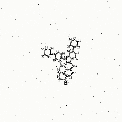 Brc1ccc2ccc3c4c(ccc1c24)cc1c2ccc(-c4ccccc4)cc2n(-c2ccc(-c4ccccc4)cc2)c13